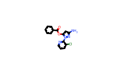 Nc1cc(OC(=O)c2ccccc2)n(-c2ncccc2Cl)n1